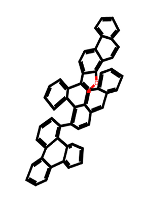 c1ccc(-c2coc3c2ccc2c4ccccc4ccc23)c(-c2c(-c3cccc4c5ccccc5c5ccccc5c34)ccc3cc4ccccc4cc23)c1